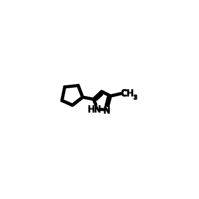 Cc1cc(C2CCCC2)[nH]n1